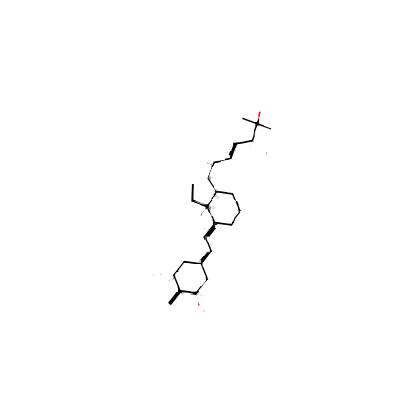 C=C1[C@H](O)CC(=C/C=C2\CCC[C@]3(C)[C@@H]([C@H](C)/C=C/[C@@H](O)C(C)(C)O)CC[C@@H]23)C[C@H]1O